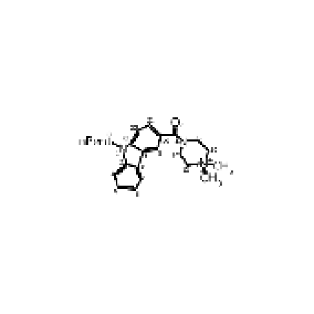 CCCCCn1c2ccccc2c2cc(C(=O)N3CC[N+](C)(C)CC3)ccc21